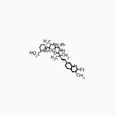 CCc1nc2cc(/C=C/C(C)(C)C(=O)N[C@H](C(=O)NC(C)C(=O)N3CCCC(C(=O)O)N3)C(C)C)ccc2cc1C